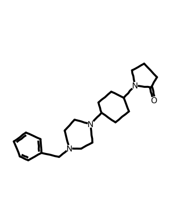 O=C1CCCN1C1CCC(N2CCN(Cc3ccccc3)CC2)CC1